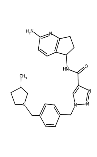 CC1CCN(Cc2ccc(Cn3cc(C(=O)NC4CCc5nc(N)ccc54)nn3)cc2)C1